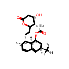 [2H]C([2H])([2H])[C@H]1C=C2C=C[C@H](C)[C@H](CCC3C[C@@H](O)CC(=O)O3)[C@H]2[C@@H](OC(=O)[C@@H](C)CC)C1